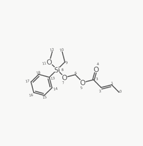 CC=CC(=O)OCO[Si](CC)(OC)c1ccccc1